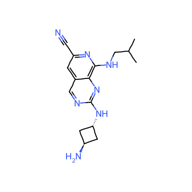 CC(C)CNc1nc(C#N)cc2cnc(N[C@H]3C[C@H](N)C3)nc12